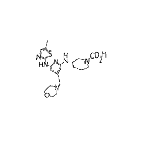 Cc1cnc(Nc2cc(CN3CCOCC3)cc(N[C@H]3CCCN(C(=O)O)C3)n2)s1